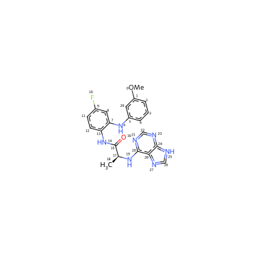 COc1cccc(Nc2cc(F)ccc2NC(=O)[C@H](C)Nc2ncnc3[nH]cnc23)c1